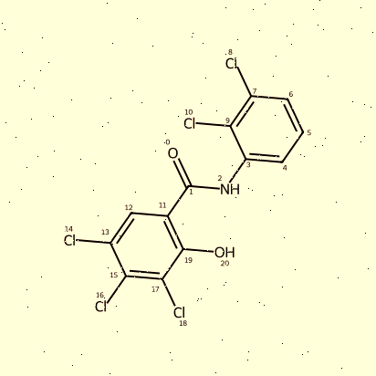 O=C(Nc1cccc(Cl)c1Cl)c1cc(Cl)c(Cl)c(Cl)c1O